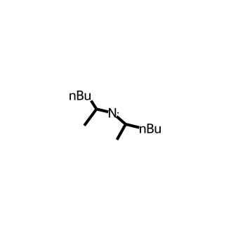 CCCCC(C)[N]C(C)CCCC